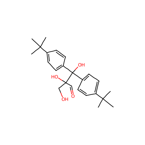 CC(C)(C)c1ccc(C(O)(c2ccc(C(C)(C)C)cc2)C(O)(C=O)CO)cc1